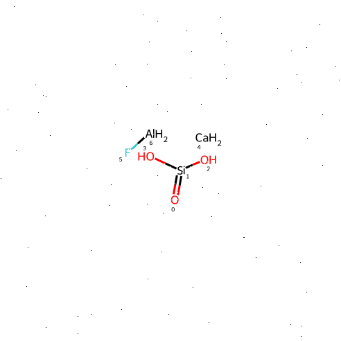 O=[Si](O)O.[CaH2].[F][AlH2]